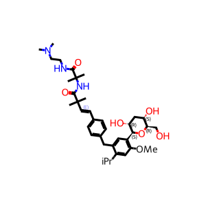 COc1cc(C(C)C)c(Cc2ccc(/C=C/C(C)(C)C(=O)NC(C)(C)C(=O)NCCN(C)C)cc2)cc1[C@@H]1O[C@H](CO)[C@@H](O)C[C@H]1O